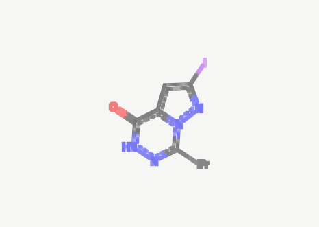 CC(C)c1n[nH]c(=O)c2cc(I)nn12